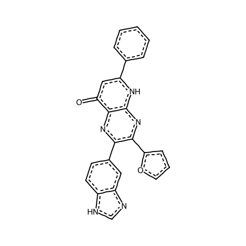 O=c1cc(-c2ccccc2)[nH]c2nc(-c3ccco3)c(-c3ccc4[nH]cnc4c3)nc12